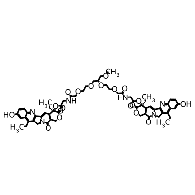 CCc1c2c(nc3ccc(O)cc13)-c1cc3c(c(=O)n1C2)COC(=O)[C@@]3(CC)OC(=O)CNC(=O)COCCOCC(COC)OCCOCC(=O)NCC(=O)O[C@]1(CC)C(=O)OCc2c1cc1n(c2=O)Cc2c-1nc1ccc(O)cc1c2CC